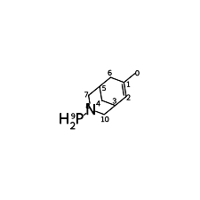 CC1=CC2CC(C1)CN(P)C2